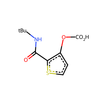 CC(C)(C)NC(=O)c1sccc1OC(=O)O